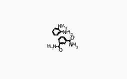 NC(=O)c1cccc(C(N)=O)c1.Nc1ccccc1N